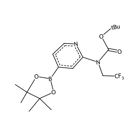 CC(C)(C)OC(=O)N(CC(F)(F)F)c1cc(B2OC(C)(C)C(C)(C)O2)ccn1